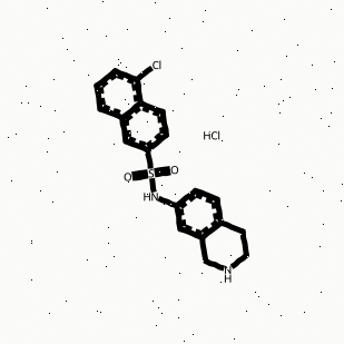 Cl.O=S(=O)(Nc1ccc2c(c1)CNCC2)c1ccc2c(Cl)cccc2c1